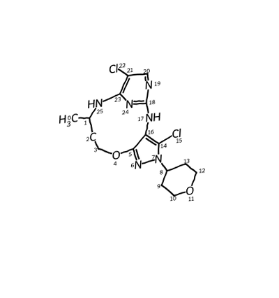 CC1CCOc2nn(C3CCOCC3)c(Cl)c2Nc2ncc(Cl)c(n2)N1